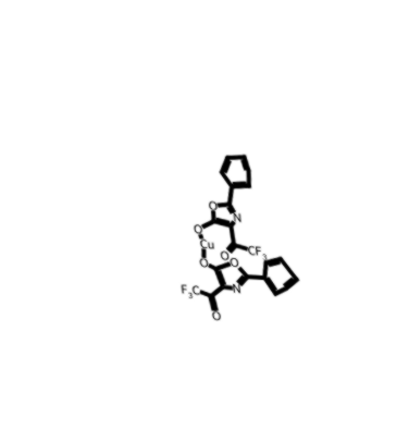 O=C(c1nc(-c2ccccc2)oc1[O][Cu][O]c1oc(-c2ccccc2)nc1C(=O)C(F)(F)F)C(F)(F)F